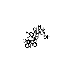 COC(=O)Oc1c(Cc2ccc(C(=O)N[C@@H]3[C@@H]4C[C@@H]5C[C@H]3C[C@](O)(C5)C4)cc2F)c(=O)c2cccnc2n1-c1ccccc1